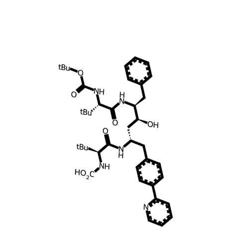 CC(C)(C)OC(=O)N[C@H](C(=O)N[C@@H](Cc1ccccc1)[C@@H](O)C[C@H](Cc1ccc(-c2ccccn2)cc1)NC(=O)[C@@H](NC(=O)O)C(C)(C)C)C(C)(C)C